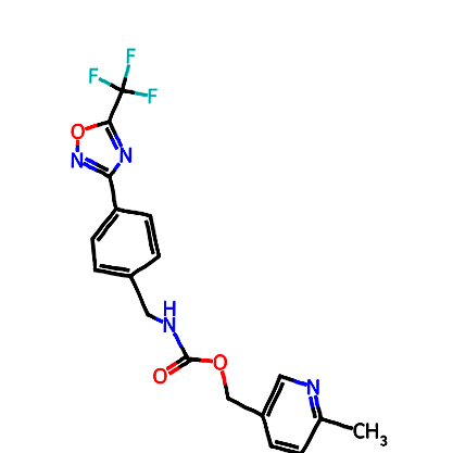 Cc1ccc(COC(=O)NCc2ccc(-c3noc(C(F)(F)F)n3)cc2)cn1